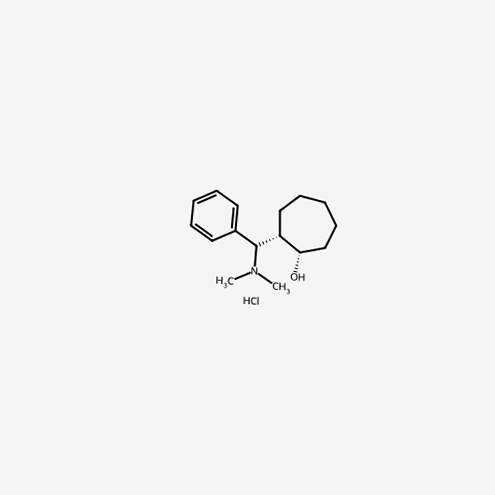 CN(C)C(c1ccccc1)[C@@H]1CCCCC[C@@H]1O.Cl